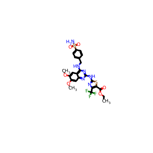 CCOC(=O)c1sc(Nc2nc(NCc3ccc(S(N)(=O)=O)cc3)c3cc(OC)c(OC)cc3n2)nc1C(F)(F)F